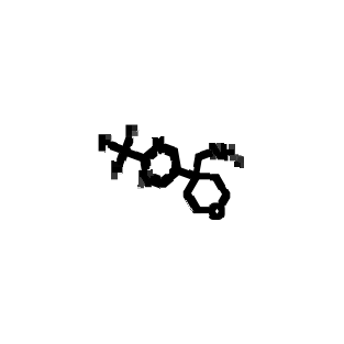 NCC1(c2cnc(C(F)(F)F)nc2)CCOCC1